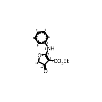 CCOC(=O)C1=C(Nc2ccccc2)OCC1=O